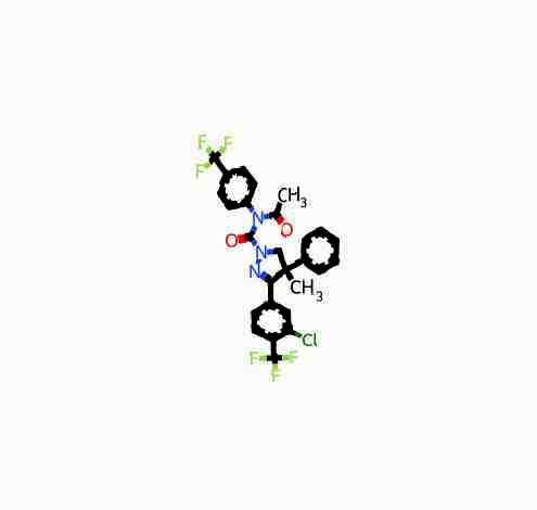 CC(=O)N(C(=O)N1CC(C)(c2ccccc2)C(c2ccc(C(F)(F)F)c(Cl)c2)=N1)c1ccc(C(F)(F)F)cc1